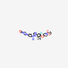 N#Cc1cc(-c2nccc(Nc3ccc(N4CCN(C5COC5)CC4)cc3)n2)ccc1O[C@H]1CCN(C(=O)[C@H]2CCCO2)C[C@H]1F